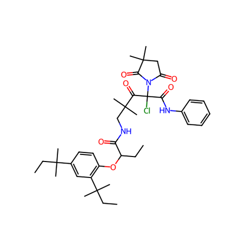 CCC(Oc1ccc(C(C)(C)CC)cc1C(C)(C)CC)C(=O)NCC(C)(C)C(=O)C(Cl)(C(=O)Nc1ccccc1)N1C(=O)CC(C)(C)C1=O